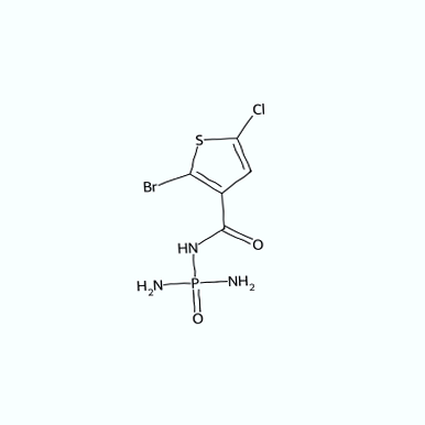 NP(N)(=O)NC(=O)c1cc(Cl)sc1Br